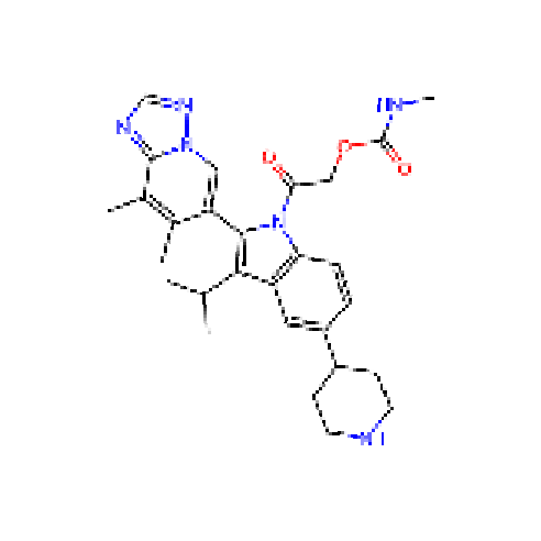 CNC(=O)OCC(=O)n1c(-c2cn3ncnc3c(C)c2C)c(C(C)C)c2cc(C3CCNCC3)ccc21